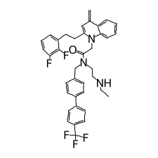 C=C1C=C(CCc2cccc(F)c2F)N(CC(=O)N(CCNCC)Cc2ccc(-c3ccc(C(F)(F)F)cc3)cc2)c2ccccc21